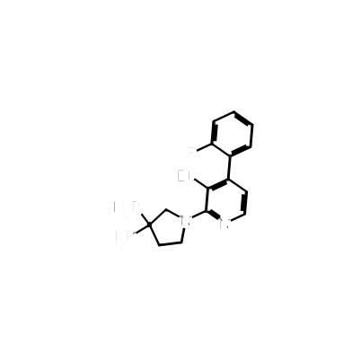 CCc1c(-c2ccccc2F)ccnc1N1CCC(P)(P)C1